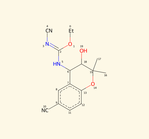 CCOC(=NC#N)NC1c2cc(C#N)ccc2OC(C)(C)C1O